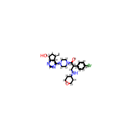 C[C@@H]1C[C@@H](O)c2ncnc(N3CCN(C(=O)C(CNC4CCOCC4)c4ccc(Br)cc4)CC3)c21